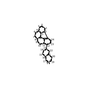 c1cc2c3c(c1)ccc1ccc4c(-c5ccc6cnccc6c5)ccc-2c4c13